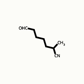 CC(C#N)CCCCC=O